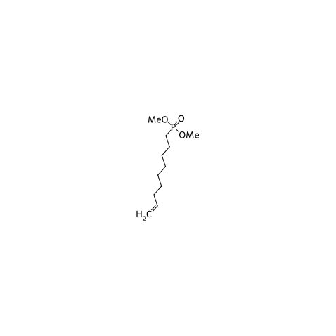 C=CCCCCCCCP(=O)(OC)OC